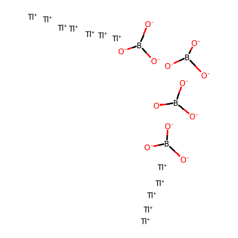 [O-]B([O-])[O-].[O-]B([O-])[O-].[O-]B([O-])[O-].[O-]B([O-])[O-].[Tl+].[Tl+].[Tl+].[Tl+].[Tl+].[Tl+].[Tl+].[Tl+].[Tl+].[Tl+].[Tl+].[Tl+]